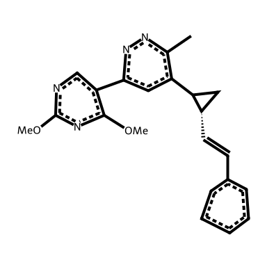 COc1ncc(-c2cc(C3C[C@@H]3/C=C/c3ccccc3)c(C)nn2)c(OC)n1